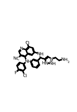 N#Cc1cnc2c(Cl)cc(N[C@H](C3=CN(CCN)NN3)c3ccccc3)cc2c1Nc1ccc(F)c(Cl)c1